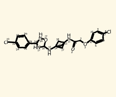 O=C(COc1ccc(Cl)cc1)NC12CC(NC3NC(c4ccc(Cl)cc4)NO3)(C1)C2